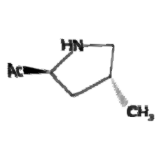 CC(=O)[C@@H]1C[C@@H](C)CN1